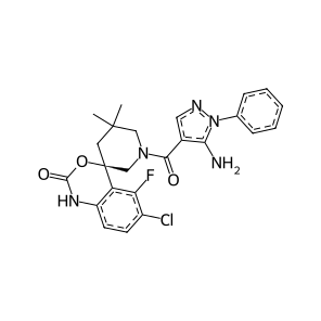 CC1(C)CN(C(=O)c2cnn(-c3ccccc3)c2N)C[C@]2(C1)OC(=O)Nc1ccc(Cl)c(F)c12